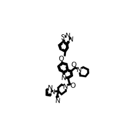 N#CC1(n2cccn2)CCN(C(=O)c2cc(C(=O)N3CCCCC3)c3cc(OCc4ccc5snnc5c4)ccc3n2)CC1